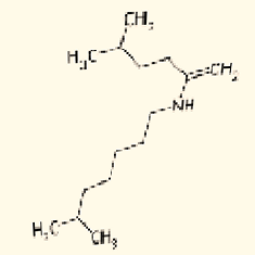 C=C(CCC(C)C)NCCCCCC(C)C